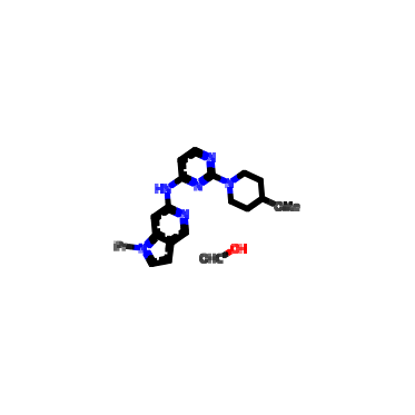 COC1CCN(c2nccc(Nc3cc4c(ccn4C(C)C)cn3)n2)CC1.O=CO